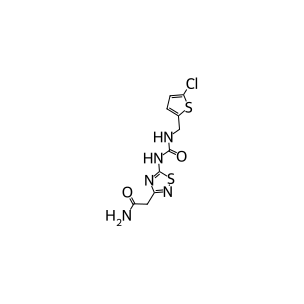 NC(=O)Cc1nsc(NC(=O)NCc2ccc(Cl)s2)n1